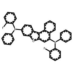 Fc1ccccc1N(c1ccccc1)c1ccc2c(c1)oc1cc(N(c3ccccc3)c3ccccc3F)c3ccccc3c12